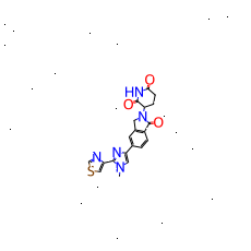 Cn1cc(-c2ccc3c(c2)CN(C2CCC(=O)NC2=O)C3=O)nc1-c1cscn1